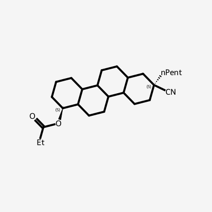 CCCCC[C@]1(C#N)CCC2C(CCC3C2CCC2C3CCC[C@@H]2OC(=O)CC)C1